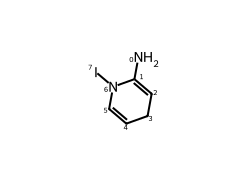 NC1=CCC=CN1I